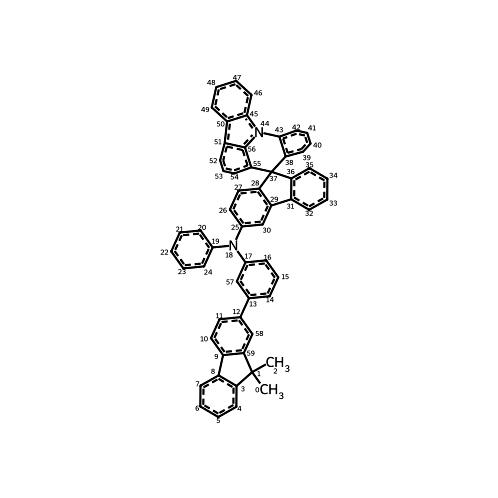 CC1(C)c2ccccc2-c2ccc(-c3cccc(N(c4ccccc4)c4ccc5c(c4)-c4ccccc4C54c5ccccc5-n5c6ccccc6c6cccc4c65)c3)cc21